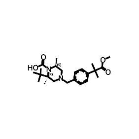 COC(=O)C(C)(C)c1ccc(CN2C[C@H](C)N(C(=O)O)[C@](C)(C(C)(C)C)C2)cc1